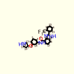 O=C(Nc1cccc(OC2CCNC2)c1)c1cccc2[nH]c(-c3ccccc3C(F)(F)F)nc12